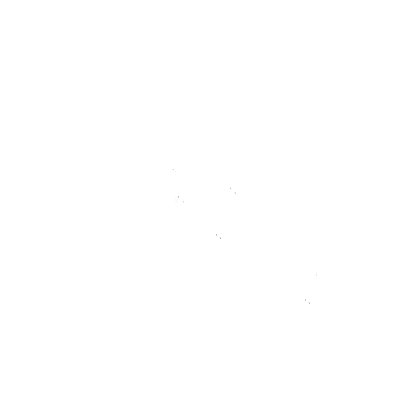 CCCn1c(NC(=O)c2cc(C)oc2C)nc2cc(C(N)=O)ccc21